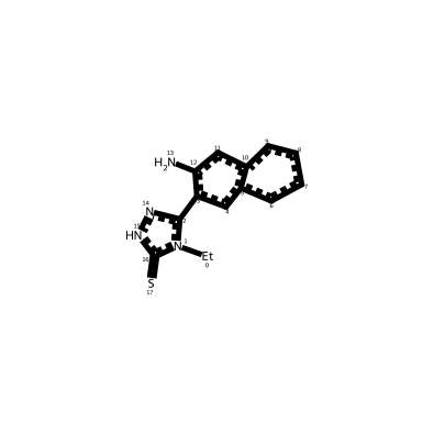 CCn1c(-c2cc3ccccc3cc2N)n[nH]c1=S